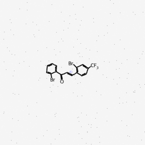 O=C(/C=C/c1ccc(C(F)(F)F)cc1Br)c1ccccc1Br